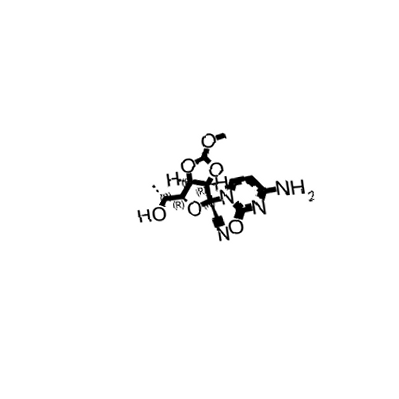 COC1O[C@@H]2[C@@H]([C@@H](C)O)O[C@@](C#N)(n3ccc(N)nc3=O)[C@@H]2O1